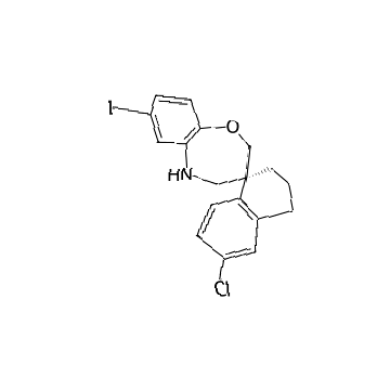 Clc1ccc2c(c1)CCC[C@@]21CNc2cc(I)ccc2OC1